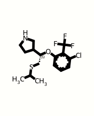 CC(C)SC[C@@H](Oc1cccc(Cl)c1C(F)(F)F)C1CCNC1